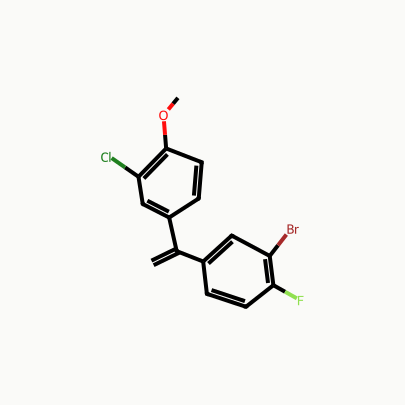 C=C(c1ccc(OC)c(Cl)c1)c1ccc(F)c(Br)c1